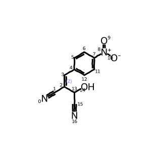 N#C/C(=C/c1ccc([N+](=O)[O-])cc1)C(O)C#N